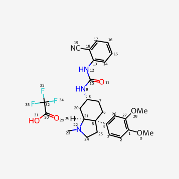 COc1ccc([C@@]23CC[C@@H](NC(=O)Nc4ccccc4C#N)C[C@@H]2N(C)CC3)cc1OC.O=C(O)C(F)(F)F